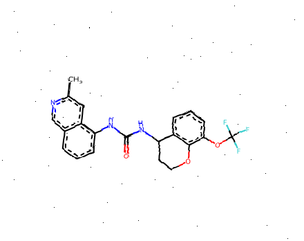 Cc1cc2c(NC(=O)NC3CCOc4c(OC(F)(F)F)cccc43)cccc2cn1